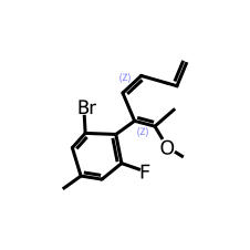 C=C/C=C\C(=C(/C)OC)c1c(F)cc(C)cc1Br